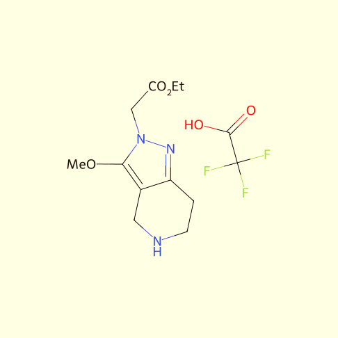 CCOC(=O)Cn1nc2c(c1OC)CNCC2.O=C(O)C(F)(F)F